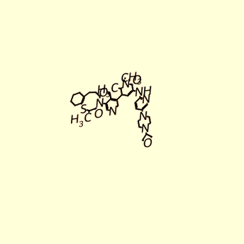 CC1SC2=C(CCCC2)CCCN(c2cncc(C3C=C(Nc4ccc(N5CCN(C6COC6)CC5)cn4)C(=O)N(C)C3C)c2C=O)C1=O